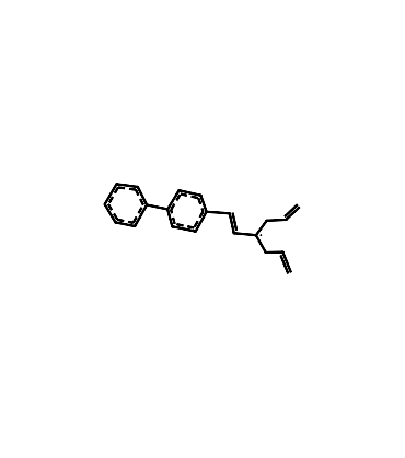 C=CC[C](C=Cc1ccc(-c2ccccc2)cc1)CC=C